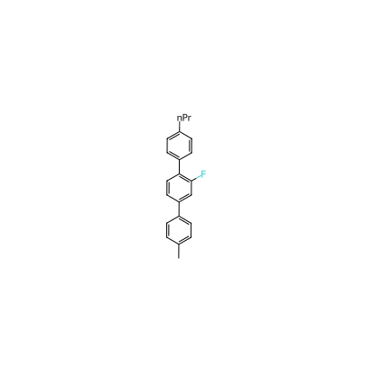 CCCc1ccc(-c2ccc(-c3ccc(C)cc3)cc2F)cc1